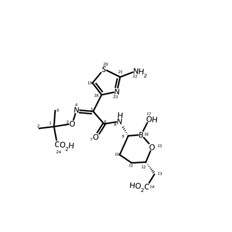 CC(C)(O/N=C(\C(=O)N[C@H]1CC[C@@H](CC(=O)O)OB1O)c1csc(N)n1)C(=O)O